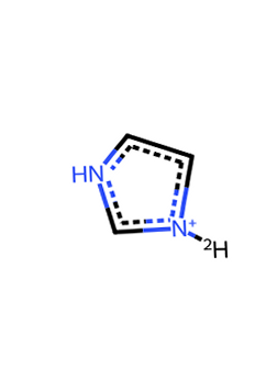 [2H][n+]1cc[nH]c1